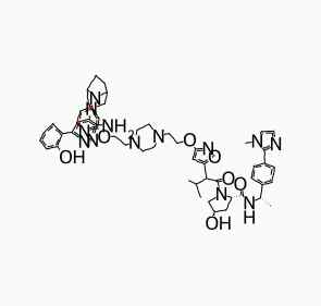 CC(C)C(C(=O)N1C[C@H](O)C[C@H]1C(=O)N[C@@H](C)c1ccc(-c2nccn2C)cc1)c1cc(OCCN2CCN(CCOc3cc(N4C5CCC4CN(c4cc(-c6ccccc6O)nnc4N)C5)ccn3)CC2)no1